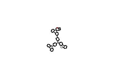 c1ccc2c(c1)-c1cc(-c3ccc(N(c4ccc(-n5c6ccccc6c6ccccc65)cc4)c4ccc5c(c4)oc4ccccc45)cc3)ccc1C21C2CC3CC(C2)CC1C3